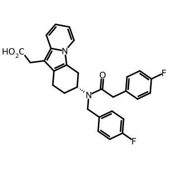 O=C(O)Cc1c2c(n3ccccc13)C[C@H](N(Cc1ccc(F)cc1)C(=O)Cc1ccc(F)cc1)CC2